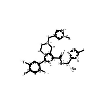 Cc1nnc([C@@H](NC(=O)c2nc(-c3cc(F)c(F)cc3F)n3c2CN(Cc2cnn(C)c2)CC3)C(C)(C)C)o1